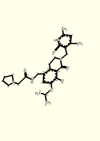 Cc1cc(C)c(CN2CCc3c(CNC(=O)CN4CCCC4)cc(OC(C)C)c(Cl)c3C2=O)c(=O)[nH]1